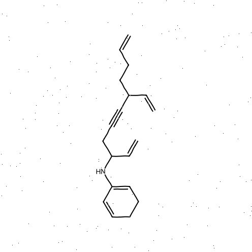 C=CCCC(C#CCC(C=C)NC1=CCCC=C1)C=C